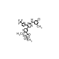 COc1ncc(-c2cnc(Nc3cc(C)cc(Cl)c3)nc2-n2ccc(C(F)(F)F)n2)cc1C(=O)NS(C)(=O)=O